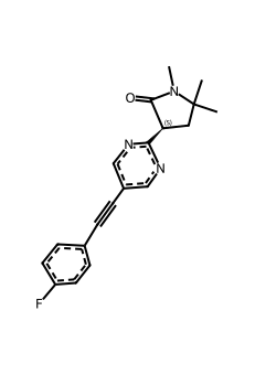 CN1C(=O)[C@H](c2ncc(C#Cc3ccc(F)cc3)cn2)CC1(C)C